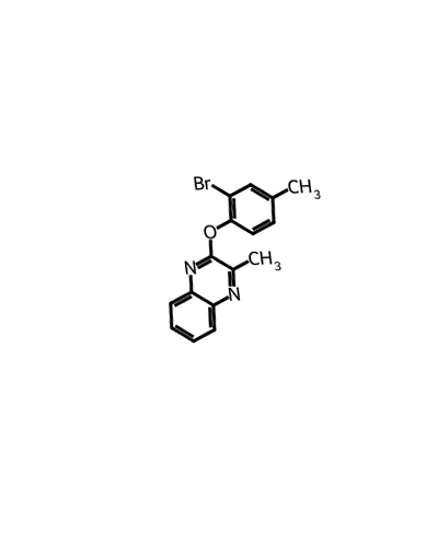 Cc1ccc(Oc2nc3ccccc3nc2C)c(Br)c1